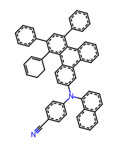 N#Cc1ccc(N(c2ccc3c(c2)c2ccccc2c2c(-c4ccccc4)cc(-c4ccccc4)c(C4=CC=CCC4)c32)c2cccc3ccccc23)cc1